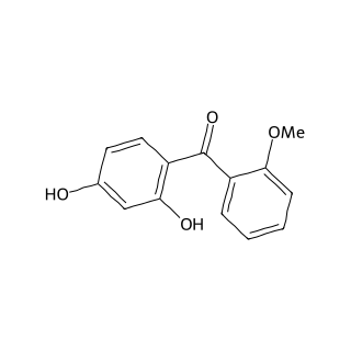 COc1ccccc1C(=O)c1ccc(O)cc1O